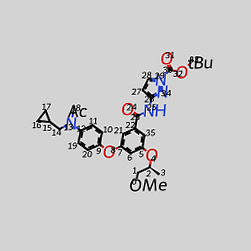 COC[C@H](C)Oc1cc(Oc2ccc(N(CC3CC3)C(C)=O)cc2)cc(C(=O)Nc2ccn(C(=O)OC(C)(C)C)n2)c1